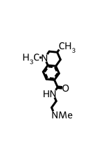 CNCCNC(=O)c1ccc2c(c1)CC(C)CN2C